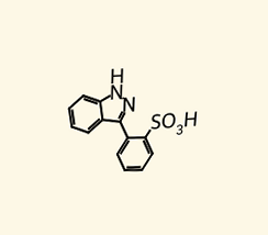 O=S(=O)(O)c1ccccc1-c1n[nH]c2ccccc12